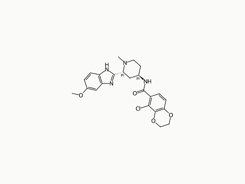 COc1ccc2[nH]c([C@H]3C[C@H](NC(=O)c4ccc5c(c4Cl)OCCO5)CCN3C)nc2c1